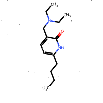 CCCCc1ccc(CN(CC)CC)c(=O)[nH]1